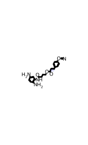 N#COc1ccc(/C=C/C(=O)OCCCC(=O)Nc2cc(N)ccc2N)cc1